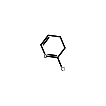 ClC1=BC=CCC1